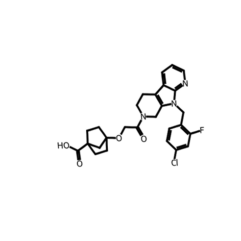 O=C(COC12CCC(C(=O)O)(CC1)C2)N1CCc2c(n(Cc3ccc(Cl)cc3F)c3ncccc23)C1